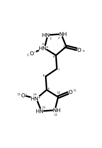 O=C1NN[NH+]([O-])C1CCC1C(=O)NN[NH+]1[O-]